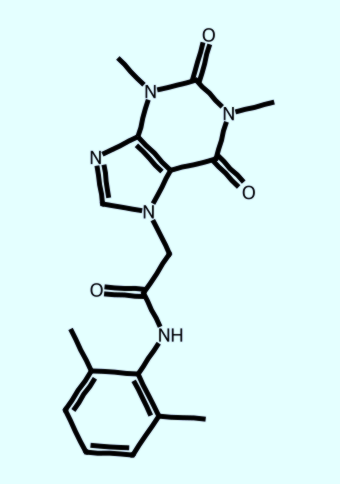 Cc1cccc(C)c1NC(=O)Cn1cnc2c1c(=O)n(C)c(=O)n2C